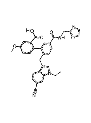 CCn1cc(Cc2ccc(C(=O)NCc3ncco3)cc2-c2ccc(OC)cc2C(=O)O)c2ccc(C#N)cc21